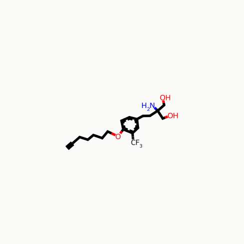 C#CCCCCCOc1ccc(CCC(N)(CO)CO)cc1C(F)(F)F